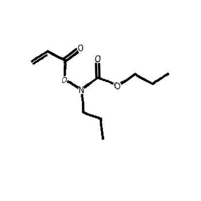 C=CC(=O)ON(CCC)C(=O)OCCC